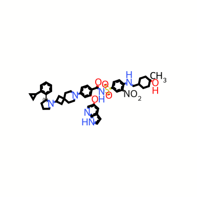 CC1(O)CCC(CNc2ccc(S(=O)(=O)NC(=O)c3ccc(N4CCC5(CC4)CC(N4CCC[C@H]4c4ccccc4C4CC4)C5)cc3Oc3cnc4[nH]ccc4c3)cc2[N+](=O)[O-])CC1